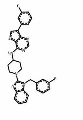 Fc1cccc(Cn2c(N3CCC(Nc4ncnc5c(-c6cccc(F)c6)csc45)CC3)nc3ccccc32)c1